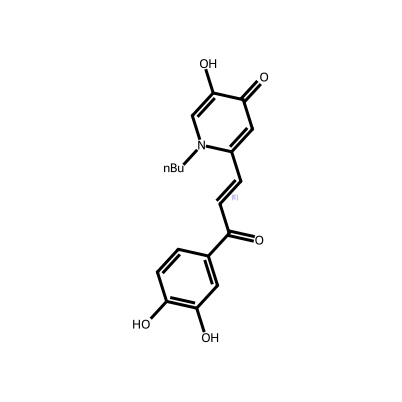 CCCCn1cc(O)c(=O)cc1/C=C/C(=O)c1ccc(O)c(O)c1